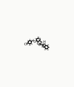 Cc1c(OCc2ccc(Cl)cc2)ccnc1C[S+]([O-])c1nc2ccccc2[nH]1